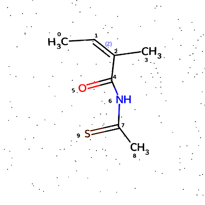 C/C=C(/C)C(=O)NC(C)=S